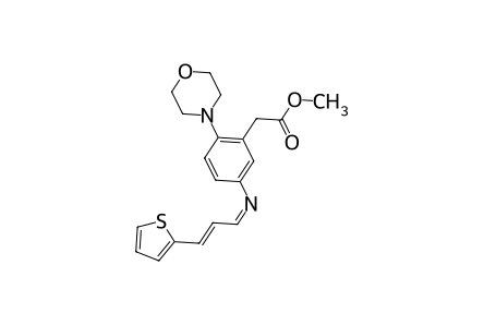 COC(=O)Cc1cc(/N=C\C=C\c2cccs2)ccc1N1CCOCC1